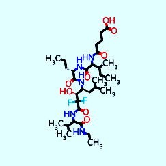 CCC[C@H](NC(=O)C(NC(=O)CCCC(=O)O)C(C)CC)C(=O)N[C@@H](CC(C)C)[C@@H](O)C(F)(F)C(=O)NC(C(=O)NCC)C(C)C